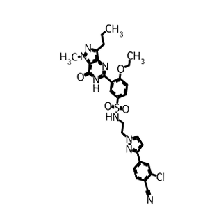 CCCc1nn(C)c2c(=O)[nH]c(-c3cc(S(=O)(=O)NCCn4ccc(-c5ccc(C#N)c(Cl)c5)n4)ccc3OCC)nc12